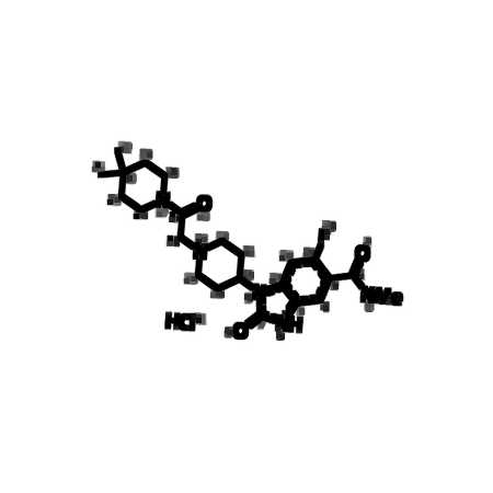 CNC(=O)c1cc2[nH]c(=O)n(C3CCN(CC(=O)N4CCC(C)(C)CC4)CC3)c2cc1F.Cl